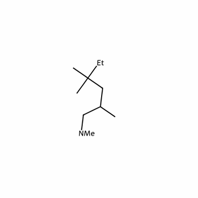 CCC(C)(C)CC(C)CNC